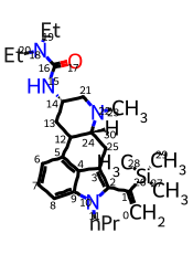 C=C(c1c2c3c(cccc3n1CCC)C1C[C@H](NC(=O)N(CC)CC)CN(C)[C@@H]1C2)[Si](C)(C)C